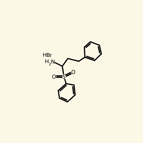 Br.NC(CCc1ccccc1)S(=O)(=O)c1ccccc1